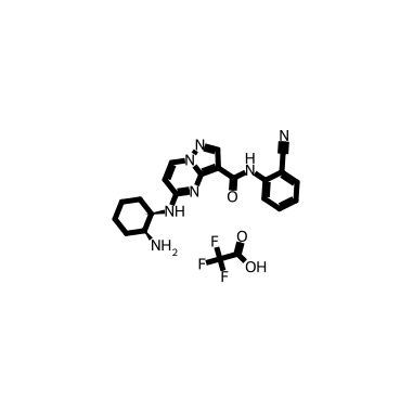 N#Cc1ccccc1NC(=O)c1cnn2ccc(N[C@@H]3CCCC[C@@H]3N)nc12.O=C(O)C(F)(F)F